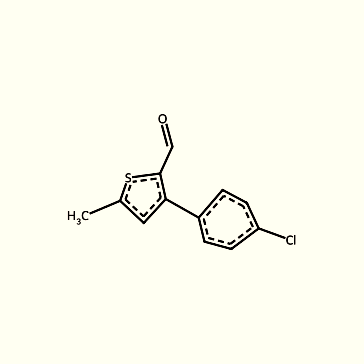 Cc1cc(-c2ccc(Cl)cc2)c(C=O)s1